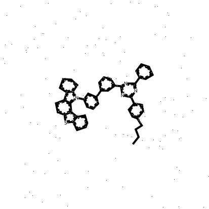 CCCCc1ccc(-c2nc(-c3ccccc3)nc(-c3cccc(-c4cccc(-n5c6ccccc6c6ccc7sc8ccccc8c7c65)c4)c3)n2)cc1